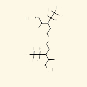 CCC(I)C(CCSCCC(C(I)CC)C(F)(F)C(F)(F)F)C(F)(F)C(F)(F)F